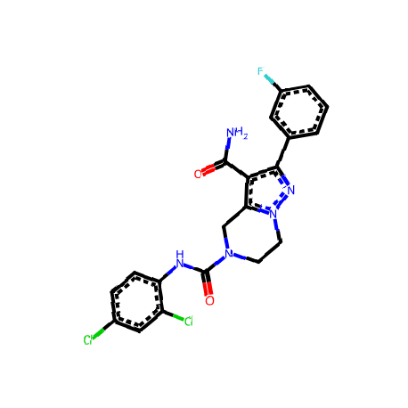 NC(=O)c1c(-c2cccc(F)c2)nn2c1CN(C(=O)Nc1ccc(Cl)cc1Cl)CC2